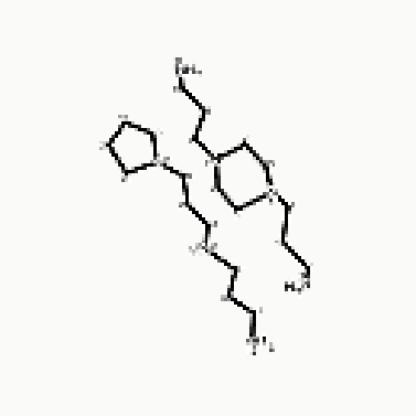 NCCCN1CCN(CCCN)CC1.NCCCNCCCN1CCCC1